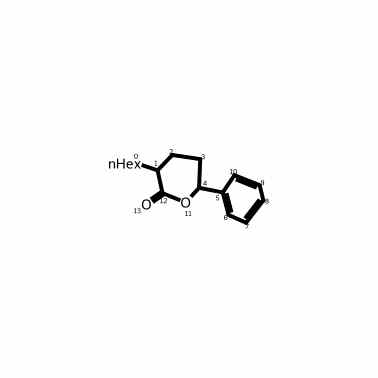 CCCCCCC1CCC(c2ccccc2)OC1=O